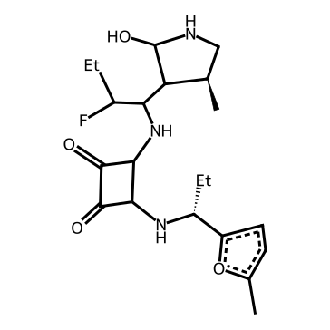 CCC(F)C(NC1C(=O)C(=O)C1N[C@H](CC)c1ccc(C)o1)C1C(O)NC[C@H]1C